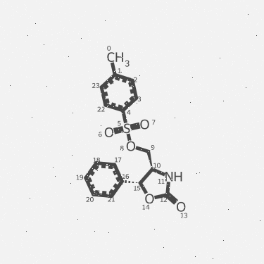 Cc1ccc(S(=O)(=O)OC[C@H]2NC(=O)O[C@@H]2c2ccccc2)cc1